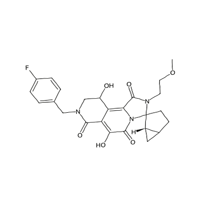 COCCN1C(=O)c2c3c(c(O)c(=O)n2C12CCC1C[C@@H]12)C(=O)N(Cc1ccc(F)cc1)CC3O